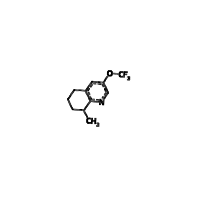 CC1CCCc2cc(OC(F)(F)F)cnc21